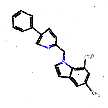 CCOC(=O)c1cc(C(F)(F)F)cc2ccn(Cc3ccc(-c4ccccc4)cn3)c12